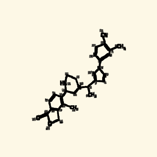 Cc1cc(-n2ncc(C(C)N3CCNC(c4ccc5c(c4C)COC5=O)C3)n2)ncc1C#N